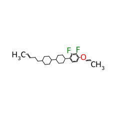 C/C=C/CCC1CCC(C2CCC(c3ccc(O/C=C/C)c(F)c3F)CC2)CC1